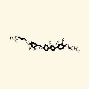 CCCCOc1ccc(COC2CC=C(c3ccc(-c4ccc(OCC)c(F)c4F)cc3F)CC2)c(F)c1F